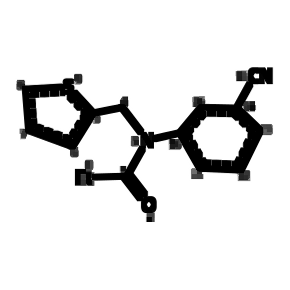 CCC(=O)N(Cc1cccs1)c1cccc(C#N)c1